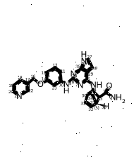 NC(=O)C1C(Nc2nc(Nc3cccc(OCc4cccnc4)c3)nc3[nH]ccc23)C2C=C[C@@H]1C2